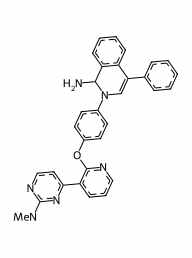 CNc1nccc(-c2cccnc2Oc2ccc(N3C=C(c4ccccc4)c4ccccc4C3N)cc2)n1